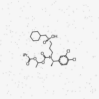 CC(OC(=O)C(C)C)OC(=O)N(CCCP(=O)(O)CC1CCCCC1)[C@H](C)c1ccc(Cl)c(Cl)c1